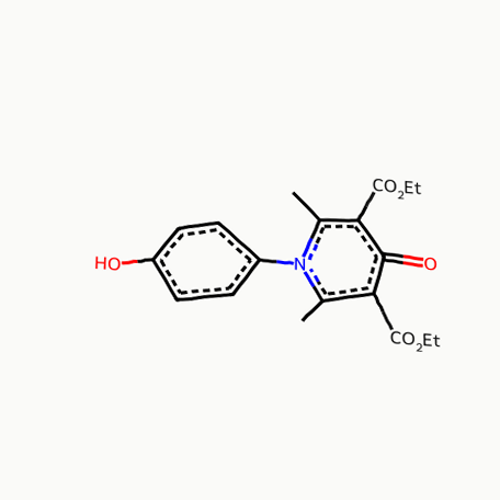 CCOC(=O)c1c(C)n(-c2ccc(O)cc2)c(C)c(C(=O)OCC)c1=O